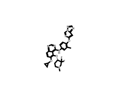 Cc1cc(Nc2ncnc3ccc(OC4CC4)c(O[C@H]4CCN(C)CC4(F)F)c23)ccc1Oc1cc2ncnn2cn1